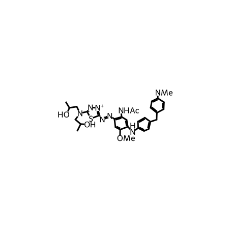 CNc1ccc(Cc2ccc(Nc3cc(NC(C)=O)c(N=Nc4sc(N(CC(C)O)CC(C)O)n[n+]4C)cc3OC)cc2)cc1